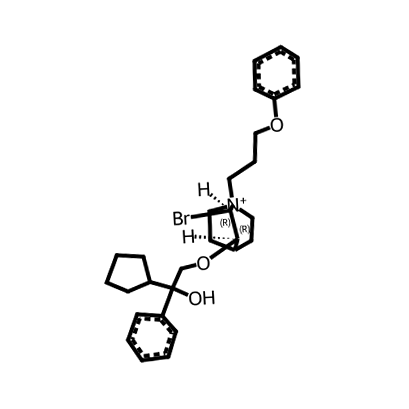 OC(CO[C@@H]1C2CC[N+](CCCOc3ccccc3)(CC2)[C@@H]1Br)(c1ccccc1)C1CCCC1